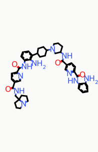 Nc1ccccc1NC(=O)c1ccc(C(=O)NC2CCCN(C3CCC(c4cccc(NC(=O)c5ccc(C(=O)NCC67CCCN6CCC7)cn5)c4N)CC3)C2)cn1